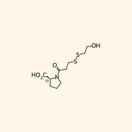 O=C(O)[C@@H]1CCCN1C(=O)CCSSCCO